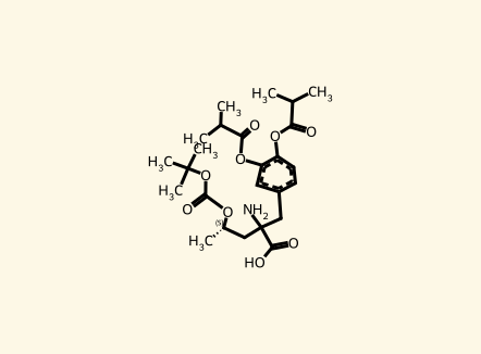 CC(C)C(=O)Oc1ccc(CC(N)(C[C@H](C)OC(=O)OC(C)(C)C)C(=O)O)cc1OC(=O)C(C)C